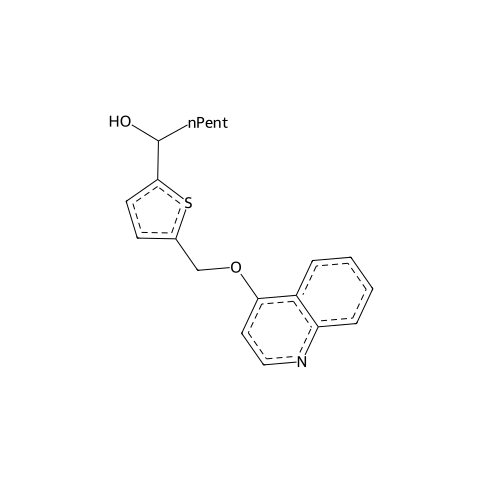 CCCCCC(O)c1ccc(COc2ccnc3ccccc23)s1